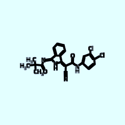 CC(C)(C)C(=O)N=C1NC(=C(C#N)C(=O)Nc2ccc(Cl)c(Cl)c2)c2ccccc21